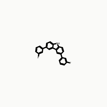 Fc1cccc(-c2ccc3[nH]c4ccc(-c5cccc(F)c5)cc4c3c2)c1